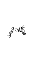 CC(=O)N1CCN(C(=O)[C@H]2CC[C@H](CNc3nc(Br)ccc3[N+](=O)[O-])CC2)CC1